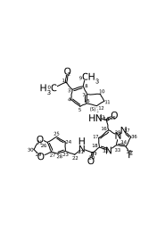 CC(=O)c1ccc2c(c1C)CC[C@@H]2NC(=O)c1cc(C(=O)NCc2ccc3c(c2)OCO3)nc2c(F)cnn12